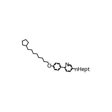 CCCCCCCc1ccc(-c2ccc(OCCCCCCCCC3CCCC3)cc2)nc1